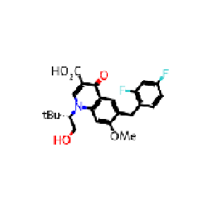 COc1cc2c(cc1Cc1ccc(F)cc1F)c(=O)c(C(=O)O)cn2[C@H](CO)C(C)(C)C